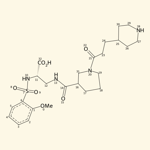 COc1ccccc1S(=O)(=O)N[C@@H](CNC(=O)C1CCCN(C(=O)CCC2CCNCC2)C1)C(=O)O